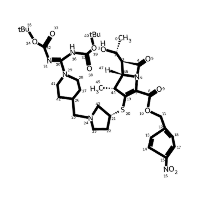 C[C@@H](O)[C@H]1C(=O)N2C(C(=O)OCc3ccc([N+](=O)[O-])cc3)=C(S[C@@H]3CCN(CC4CCN(C(=NC(=O)OC(C)(C)C)NC(=O)OC(C)(C)C)CC4)C3)[C@H](C)[C@H]12